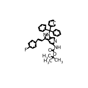 CC(C)(C)OC(=O)Nc1cc2c(C=Cc3ccc(F)cc3)nn(C(c3ccccc3)(c3ccccc3)c3ccccc3)c2cn1